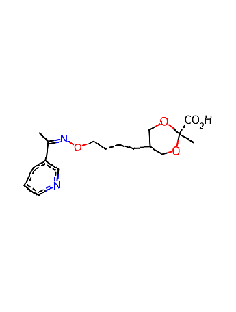 C/C(=N/OCCCCC1COC(C)(C(=O)O)OC1)c1cccnc1